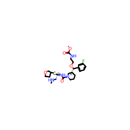 CNC[C@H](CC1CCOC1)NC(=O)N1CCC[C@@H](C(OCCNC(=O)OC)c2cccc(F)c2)C1